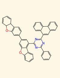 C1=CC2Oc3cc(-c4cc(-c5nc(-c6ccccc6)nc(-c6cc7ccccc7c7ccccc67)n5)c5c(c4)oc4ccccc45)ccc3C2C=C1